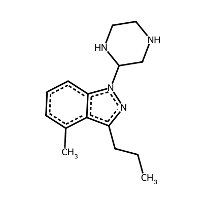 CCCc1nn(C2CNCCN2)c2cccc(C)c12